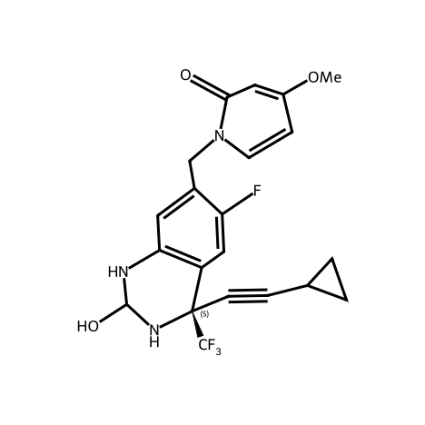 COc1ccn(Cc2cc3c(cc2F)[C@@](C#CC2CC2)(C(F)(F)F)NC(O)N3)c(=O)c1